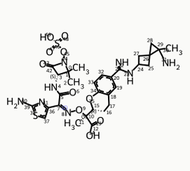 CC1(C)[C@H](NC(=O)/C(=N\O[C@](C)(C(=O)O)[C@H]2CCc3cc(C(=N)NC4CC5(C4)CC5(C)N)ccc3O2)c2csc(N)n2)C(=O)N1OS(=O)(=O)O